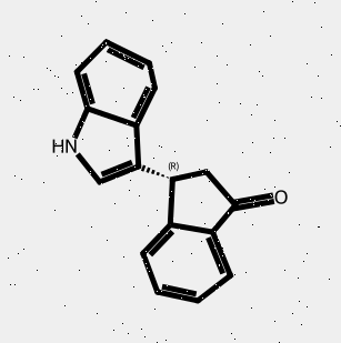 O=C1C[C@@H](c2c[nH]c3ccccc23)c2ccccc21